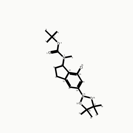 CN(C(=O)OC(C)(C)C)C1CCc2cc(B3OC(C)(C)C(C)(C)O3)cc(Cl)c21